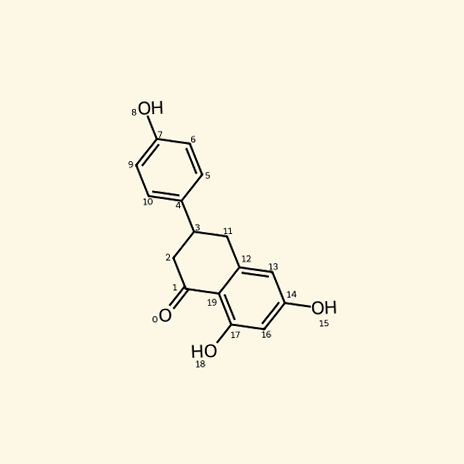 O=C1CC(c2ccc(O)cc2)Cc2cc(O)cc(O)c21